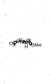 COc1ccc(C(=O)NC2CC3(NC(=O)COc4ccc(Cl)c(F)c4)CC2C3)c(F)c1